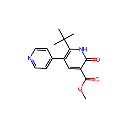 COC(=O)c1cc(-c2ccncc2)c(C(C)(C)C)[nH]c1=O